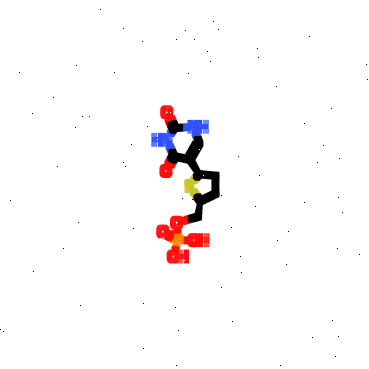 O=c1[nH]cc([C@H]2CC[C@@H](COP(=O)(O)O)S2)c(=O)[nH]1